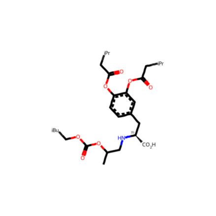 CCC(C)COC(=O)OC(C)CN[C@@H](Cc1ccc(OC(=O)CC(C)C)c(OC(=O)CC(C)C)c1)C(=O)O